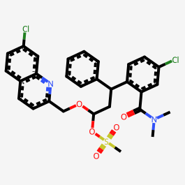 CN(C)C(=O)c1cc(Cl)ccc1C(CC(OCc1ccc2ccc(Cl)cc2n1)OS(C)(=O)=O)c1ccccc1